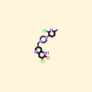 Cc1ccc(N2CCN(Cc3cnc4cc(Cl)c(=O)[nH]c4c3)CC2)c(Cl)n1